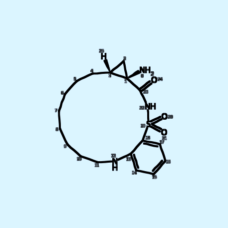 N[C@]12C[C@H]1CCCCCCCCNc1ccccc1S(=O)(=O)NC2=O